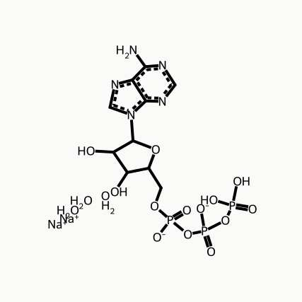 Nc1ncnc2c1ncn2C1OC(COP(=O)([O-])OP(=O)([O-])OP(=O)(O)O)C(O)C1O.O.O.O.[Na+].[Na+]